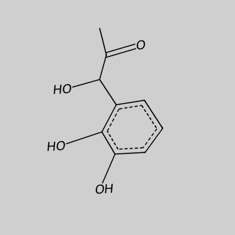 CC(=O)C(O)c1cccc(O)c1O